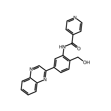 O=C(Nc1cc(-c2cnc3ccccc3n2)ccc1CO)c1ccncc1